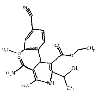 CCOC(=O)C1=C(C(C)C)NC(C)=C(C(N)=O)C1c1ccc(C#N)cc1OC